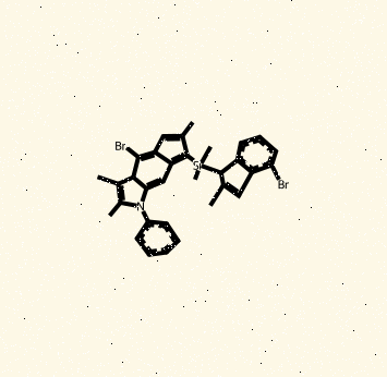 CC1=CC2=C(Br)C3C(=CC2=C1[Si](C)(C)C1C(C)=Cc2c(Br)cccc21)N(c1ccccc1)C(C)=C3C